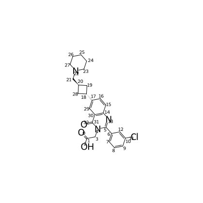 O=C(O)Cn1c(-c2cccc(Cl)c2)nc2ccc([C@H]3C[C@H](CN4CCCCC4)C3)cc2c1=O